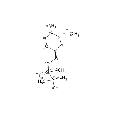 CO[C@@H]1C[C@@H](CO[Si](C)(C)C(C)(C)C)OC[C@@H]1N